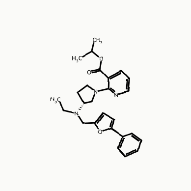 CCN(Cc1ccc(-c2ccccc2)o1)[C@@H]1CCN(c2ncccc2C(=O)OC(C)C)C1